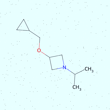 CC(C)N1CC(OCC2CC2)C1